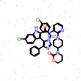 C[C@@H](c1ccc(Cl)cc1)n1cnc(-c2ccccc2)c1-c1c(C(=O)Nc2cccnc2N2CCC(N3CCCOC3=O)CC2)[nH]c2cc(Cl)ccc12